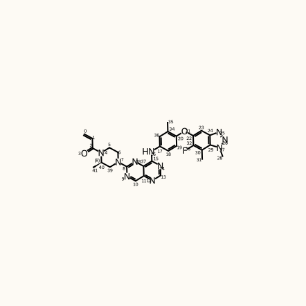 C=CC(=O)N1CCN(c2ncc3ncnc(Nc4ccc(Oc5cc6nnn(C)c6c(C)c5F)c(C)c4)c3n2)C[C@H]1C